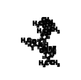 Cc1ccc(CN(CC(=O)Nc2ccc(C(C)C)cc2C(F)(F)F)Cc2ccc(OC(C)(C)C(=O)OC(C)(C)C)cc2)o1